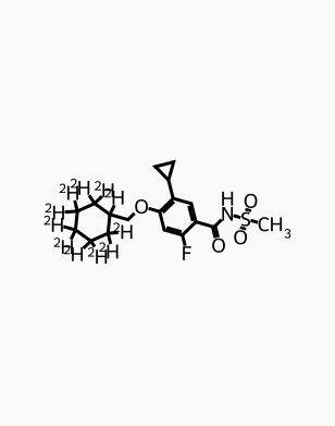 [2H]C1([2H])C([2H])([2H])C([2H])([2H])C([2H])(COc2cc(F)c(C(=O)NS(C)(=O)=O)cc2C2CC2)C([2H])([2H])C1([2H])[2H]